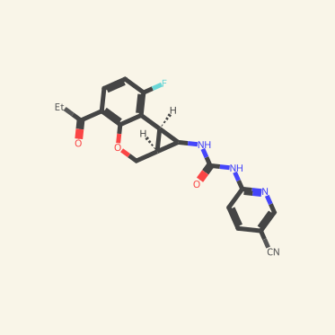 CCC(=O)c1ccc(F)c2c1OC[C@@H]1C(NC(=O)Nc3ccc(C#N)cn3)[C@H]21